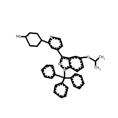 CC(C)Oc1ccc2c(c1)c(-c1ccnc(C3CCC(O)CC3)c1)nn2C(c1ccccc1)(c1ccccc1)c1ccccc1